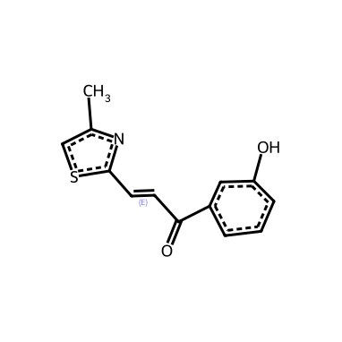 Cc1csc(/C=C/C(=O)c2cccc(O)c2)n1